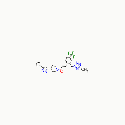 Cc1nnn(Cc2cc(C(F)(F)F)ccc2/C=C/C(=O)N2CCC(C3=NN=C(C4CCC4)C3)CC2)n1